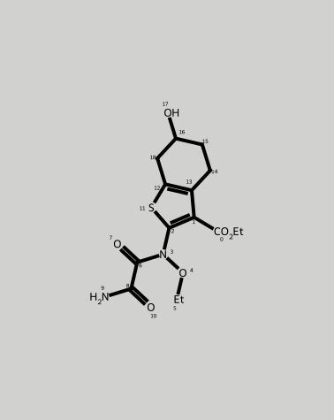 CCOC(=O)c1c(N(OCC)C(=O)C(N)=O)sc2c1CCC(O)C2